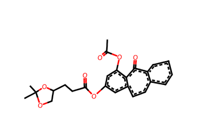 CC(=O)Oc1cc(OC(=O)CCC2COC(C)(C)O2)cc2ccc3ccccc3c(=O)c12